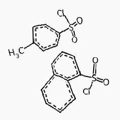 Cc1ccc(S(=O)(=O)Cl)cc1.O=S(=O)(Cl)c1cccc2ccccc12